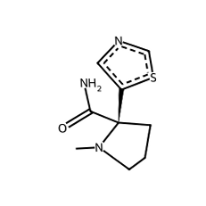 CN1CCC[C@]1(C(N)=O)c1cncs1